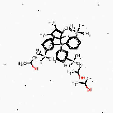 CC(C)O.CC(C)O.CC(C)O.CC1=C(C)[C]([Ti])([Si](c2cccc([Si](C)(C)C)c2)(c2cccc([Si](C)(C)C)c2)c2cccc([Si](C)(C)C)c2)C(C)=C1C